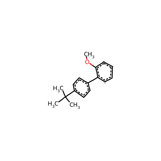 COc1ccc[c]c1-c1ccc(C(C)(C)C)cc1